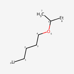 [Li][CH2]CCCOC(C)CC